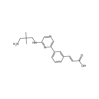 CC(C)(CN)CNc1cncc(-c2cccc(C=CC(=O)O)c2)n1